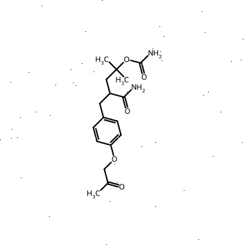 CC(=O)COc1ccc(CC(CC(C)(C)OC(N)=O)C(N)=O)cc1